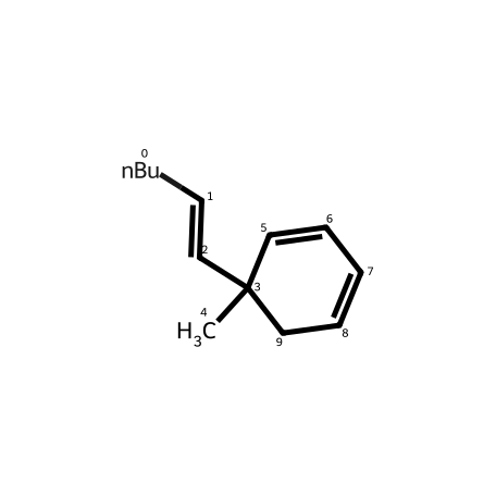 CCCCC=CC1(C)C=CC=CC1